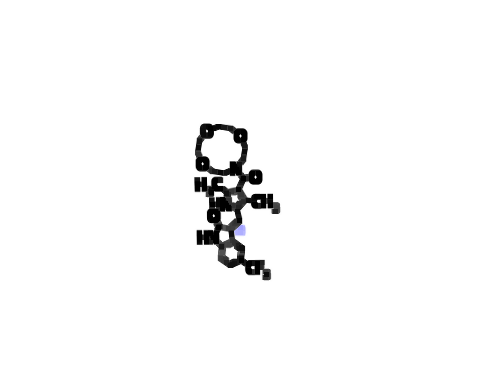 Cc1[nH]c(/C=C2\C(=O)Nc3ccc(C(F)(F)F)cc32)c(C)c1C(=O)N1CCOCCOCCOCC1